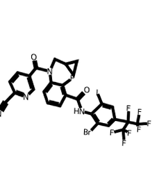 N#Cc1ccc(C(=O)N(CC2CC2)c2cccc(C(=O)Nc3c(Br)cc(C(F)(C(F)(F)F)C(F)(F)F)cc3I)c2F)cn1